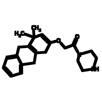 CC1(C)C=C(OCC(=O)N2CCNCC2)CC2=C1Cc1ccccc1C2